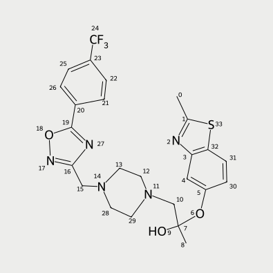 Cc1nc2cc(OC(C)(O)CN3CCN(Cc4noc(-c5ccc(C(F)(F)F)cc5)n4)CC3)ccc2s1